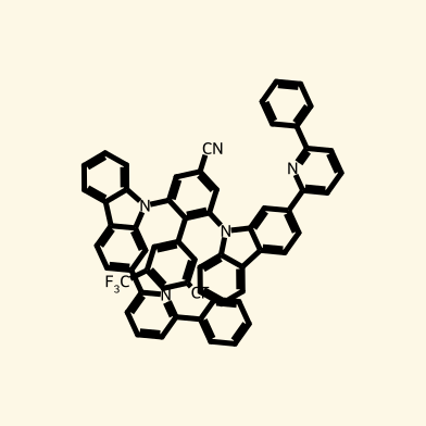 N#Cc1cc(-n2c3ccccc3c3ccc(-c4cccc(-c5ccccc5)n4)cc32)c(-c2cc(C(F)(F)F)cc(C(F)(F)F)c2)c(-n2c3ccccc3c3ccc(-c4cccc(-c5ccccc5)n4)cc32)c1